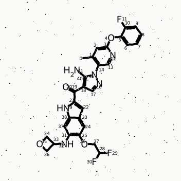 Cc1cc(Oc2ccccc2F)ncc1-n1ncc(C(=O)c2cc3cc(OCC(F)F)c(NC4COC4)cc3[nH]2)c1N